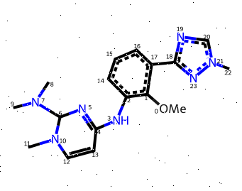 COc1c(NC2=NC(N(C)C)N(C)C=C2)cccc1-c1ncn(C)n1